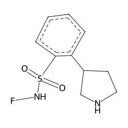 O=S(=O)(NF)c1ccccc1C1CCNC1